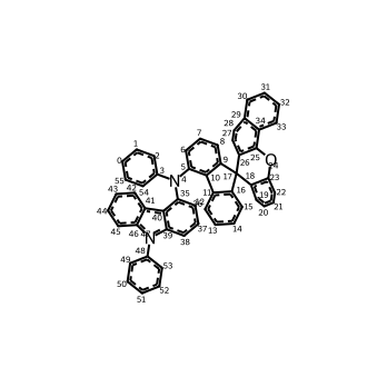 c1ccc(N(c2cccc3c2-c2ccccc2C32c3ccccc3Oc3c2ccc2ccccc32)c2cccc3c2c2ccccc2n3-c2ccccc2)cc1